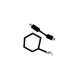 N#CC#N.NC1CCCCC1